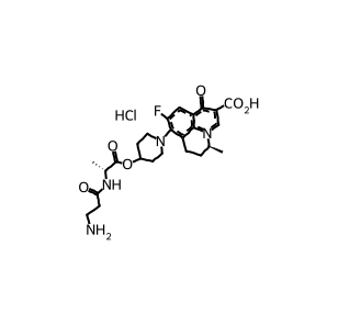 C[C@@H](NC(=O)CCN)C(=O)OC1CCN(c2c(F)cc3c(=O)c(C(=O)O)cn4c3c2CC[C@@H]4C)CC1.Cl